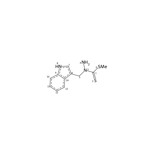 CSC(=S)N(N)Cc1c[nH]c2ccccc12